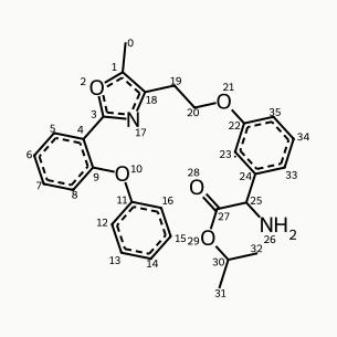 Cc1oc(-c2ccccc2Oc2ccccc2)nc1CCOc1[c]c(C(N)C(=O)OC(C)C)ccc1